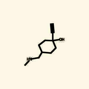 C#CC1(O)CCC(CNC)CC1